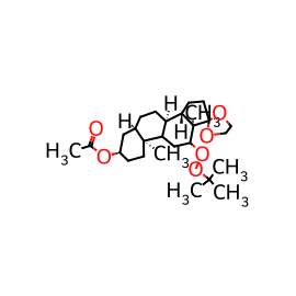 CC(=O)O[C@@H]1CC[C@]2(C)C3CC(OOC(C)(C)C)[C@@]4(C)[C@@H](CCC45OCCO5)[C@@H]3CC[C@@H]2C1